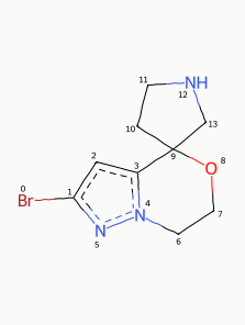 Brc1cc2n(n1)CCOC21CCNC1